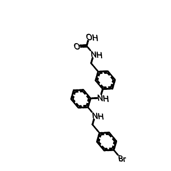 O=C(O)NCc1cccc(Nc2ccccc2NCc2ccc(Br)cc2)c1